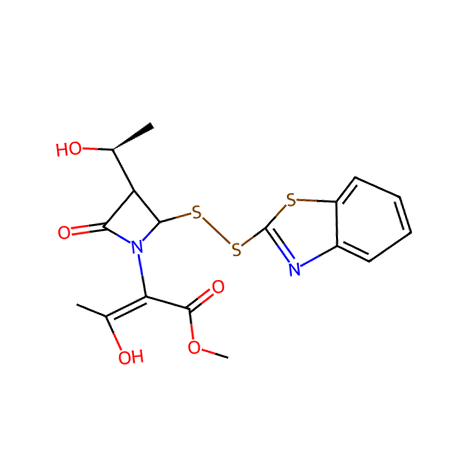 COC(=O)/C(=C(/C)O)N1C(=O)C([C@H](C)O)C1SSc1nc2ccccc2s1